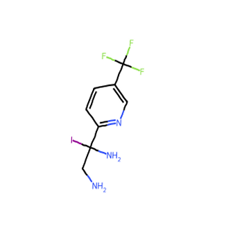 NCC(N)(I)c1ccc(C(F)(F)F)cn1